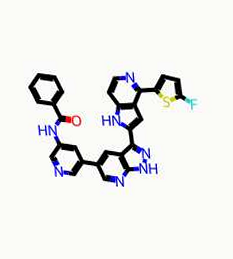 O=C(Nc1cncc(-c2cnc3[nH]nc(-c4cc5c(-c6ccc(F)s6)nccc5[nH]4)c3c2)c1)c1ccccc1